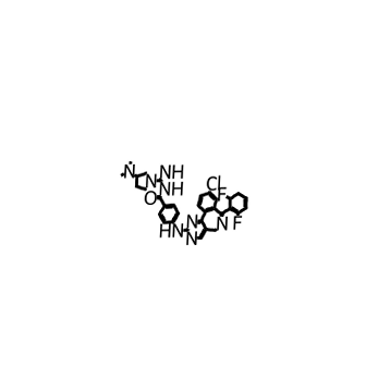 CN(C)C1CCN(C(=N)NC(=O)c2ccc(Nc3ncc4c(n3)-c3ccc(Cl)cc3C(C3=C(F)C=CCC3F)=NC4)cc2)C1